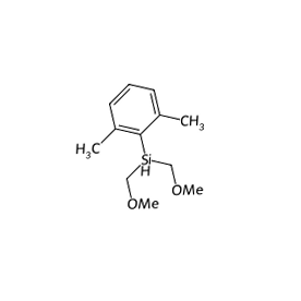 COC[SiH](COC)c1c(C)cccc1C